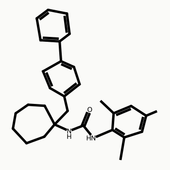 Cc1cc(C)c(NC(=O)NC2(Cc3ccc(-c4ccccc4)cc3)CCCCCC2)c(C)c1